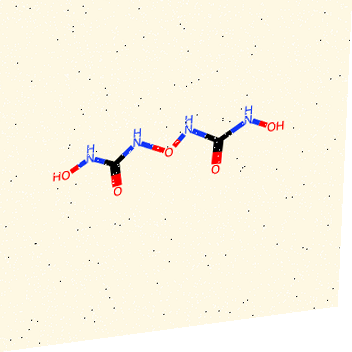 O=C(NO)NONC(=O)NO